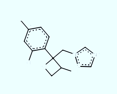 CC1COC1(Cn1cncn1)c1ccc(Cl)cc1Cl